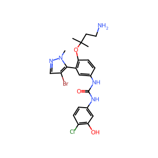 Cn1ncc(Br)c1-c1cc(NC(=O)Nc2ccc(Cl)c(O)c2)ccc1OC(C)(C)CCN